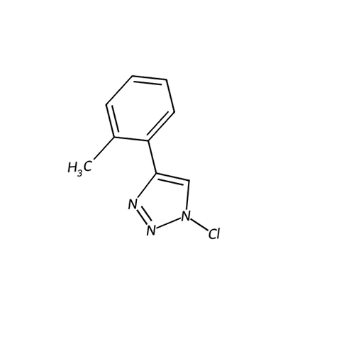 Cc1ccccc1-c1cn(Cl)nn1